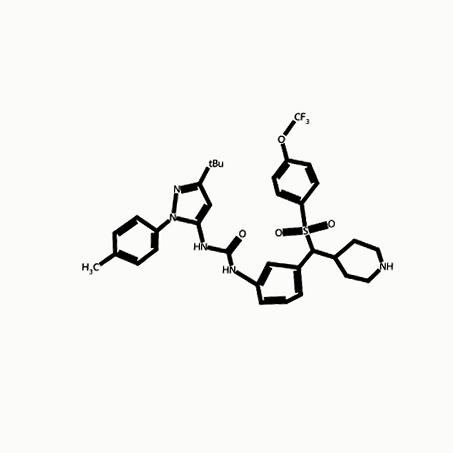 Cc1ccc(-n2nc(C(C)(C)C)cc2NC(=O)Nc2cccc(C(C3CCNCC3)S(=O)(=O)c3ccc(OC(F)(F)F)cc3)c2)cc1